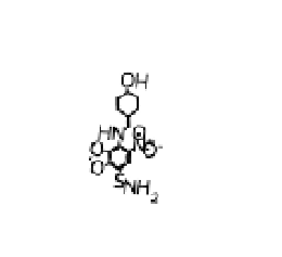 NSc1cc([N+](=O)[O-])c(NCC2CCC(O)CC2)c2c1OCO2